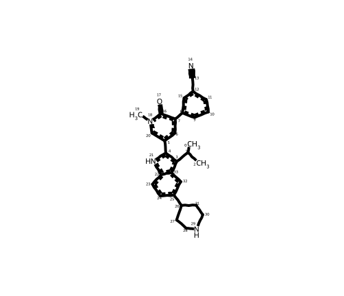 CC(C)c1c(-c2cc(-c3cccc(C#N)c3)c(=O)n(C)c2)[nH]c2ccc(C3CCNCC3)cc12